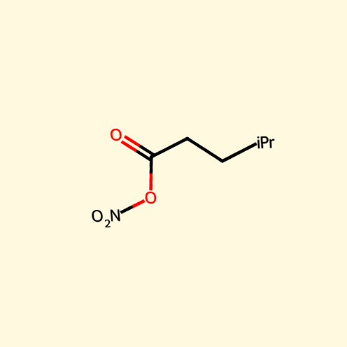 CC(C)CCC(=O)O[N+](=O)[O-]